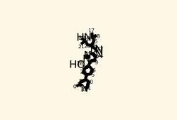 Cc1cc(-c2ccc(-c3cc4nnn(C5CC(C)(C)NC(C)(C)C5)c4nn3)c(O)c2)ccn1